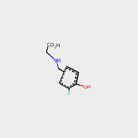 O=C(O)CNCc1ccc(O)c(F)c1